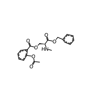 CN[C@@H](COC(=O)c1ccccc1OC(C)=O)C(=O)OCc1ccccc1